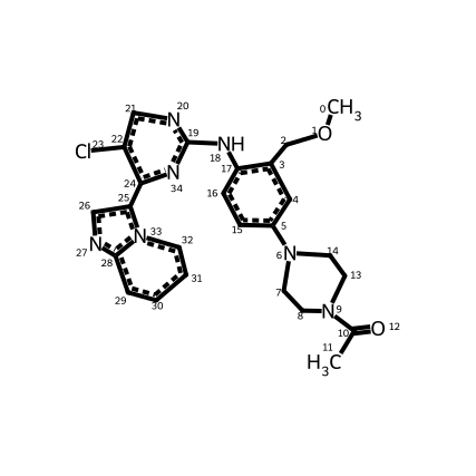 COCc1cc(N2CCN(C(C)=O)CC2)ccc1Nc1ncc(Cl)c(-c2cnc3ccccn23)n1